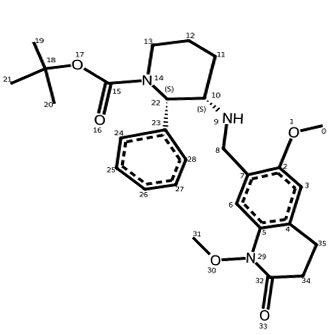 COc1cc2c(cc1CN[C@H]1CCCN(C(=O)OC(C)(C)C)[C@H]1c1ccccc1)N(OC)C(=O)CC2